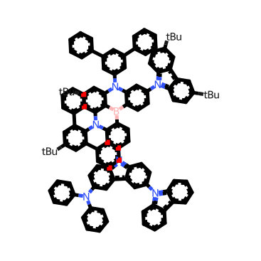 CC(C)(C)c1cc(-c2ccccc2)c(N2c3cc(-n4c5ccc(N(c6ccccc6)c6ccccc6)cc5c5cc(-n6c7ccccc7c7ccccc76)ccc54)ccc3B3c4ccc(-n5c6ccc(C(C)(C)C)cc6c6cc(C(C)(C)C)ccc65)cc4N(c4cc(-c5ccccc5)cc(-c5ccccc5)c4)c4cc(C(C)(C)C)cc2c43)c(-c2ccccc2)c1